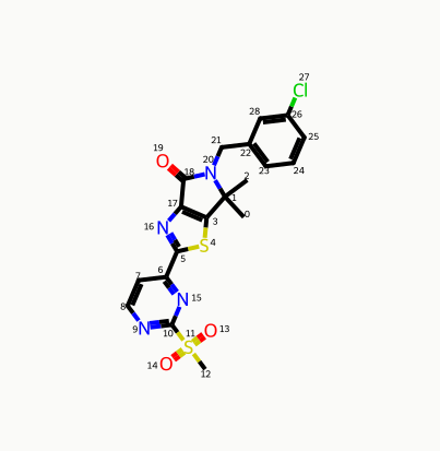 CC1(C)c2sc(-c3ccnc(S(C)(=O)=O)n3)nc2C(=O)N1Cc1cccc(Cl)c1